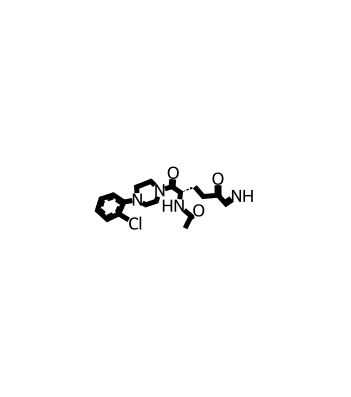 CC(=O)N[C@@H](CCC(=O)C=N)C(=O)N1CCN(c2ccccc2Cl)CC1